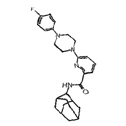 O=C(NC1C2CC3CC(C2)CC1C3)c1cccc(N2CCN(c3ccc(F)cc3)CC2)n1